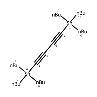 CCC[CH2][Sn]([C]#CC#[C][Sn]([CH2]CCC)([CH2]CCC)[CH2]CCC)([CH2]CCC)[CH2]CCC